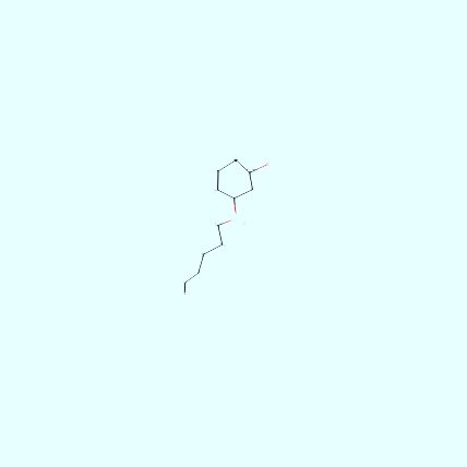 [CH2]CCCCCOC1CCCC([O])C1